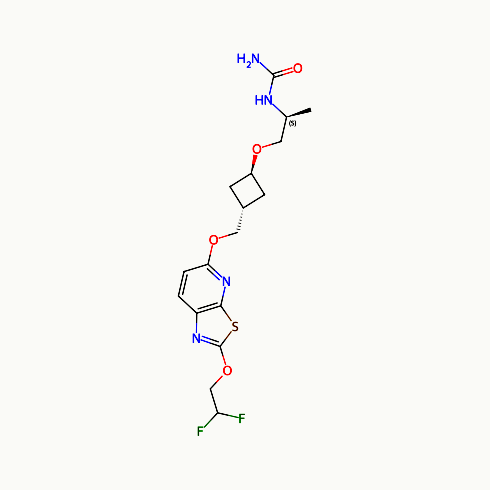 C[C@@H](CO[C@H]1C[C@H](COc2ccc3nc(OCC(F)F)sc3n2)C1)NC(N)=O